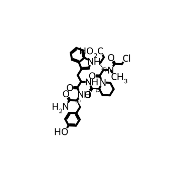 CN(C(=O)CCl)[C@@H](CCC(=O)O)C(=O)N1CCCC[C@H]1C(=O)NC(Cc1c[nH]c2ccccc12)C(=O)N[C@@H](Cc1ccc(O)cc1)C(N)=O